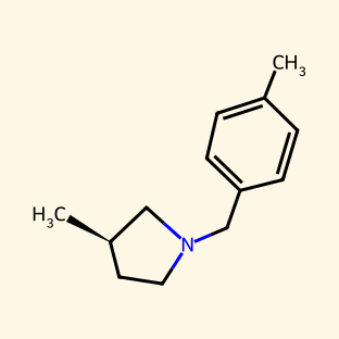 Cc1ccc(CN2CC[C@@H](C)C2)cc1